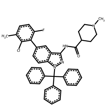 Cc1ccc(F)c(-c2ccc3c(c2)c(NC(=O)C2CCN(C)CC2)nn3C(c2ccccc2)(c2ccccc2)c2ccccc2)c1Cl